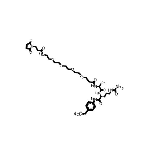 CC(=O)OCc1ccc(NC(=O)[C@H](CCCNC(N)=O)NC(=O)C(NC(=O)CCOCCOCCOCCOCCNC(=O)CCN2C(=O)C=CC2=O)C(C)C)cc1